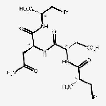 CC(C)C[C@H](NC(=O)[C@H](CC(N)=O)NC(=O)[C@H](CC(=O)O)NC(=O)[C@@H](N)CC(C)C)C(=O)O